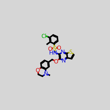 Cc1c(Cl)cccc1S(=O)(=O)Nc1nc2sccc2nc1OCc1ccc2c(c1)N(C)CCO2